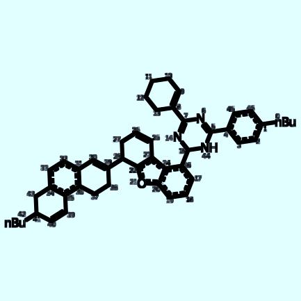 CCCCc1ccc(C2=NC(C3=CCCCC3)=NC(c3cccc4oc5c(c34)C=CCC5C3=Cc4ccc5c(c4CC3)C=CC(CCCC)C5)N2)cc1